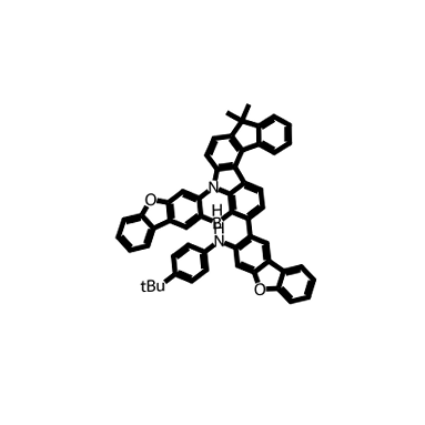 CC(C)(C)c1ccc(Nc2cc3oc4ccccc4c3cc2-c2ccc3c4c5c(ccc4n4c3c2Bc2cc3c(cc2-4)oc2ccccc23)C(C)(C)c2ccccc2-5)cc1